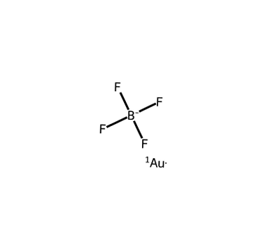 F[B-](F)(F)F.[1Au]